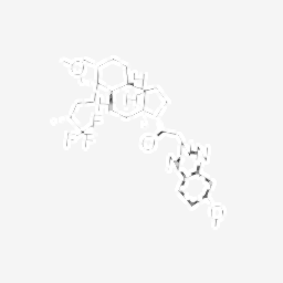 COC[C@]1(CC[C@@H](C)C(F)(F)F)[C@@H](C)CC[C@H]2[C@@H]3CC[C@H](C(=O)Cn4nc5ccc(OC)cc5n4)[C@@]3(C)CC[C@@H]21